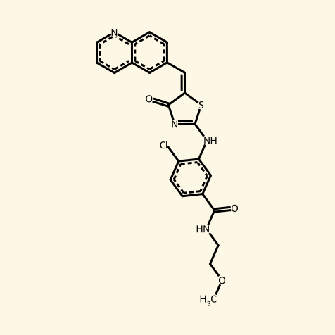 COCCNC(=O)c1ccc(Cl)c(NC2=NC(=O)C(=Cc3ccc4ncccc4c3)S2)c1